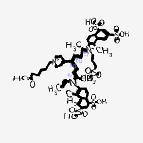 CCCN(/C(C)=C/C=C(/C=C/C(C)=[N+](\CCCS(=O)(=O)O)c1ccc2c(S(=O)(=O)O)cc(S(=O)(=O)O)cc2c1C)c1cc[n+](CCCCCC(=O)O)cc1)c1ccc2c(S(=O)(=O)O)cc(S(=O)(=O)O)cc2c1C